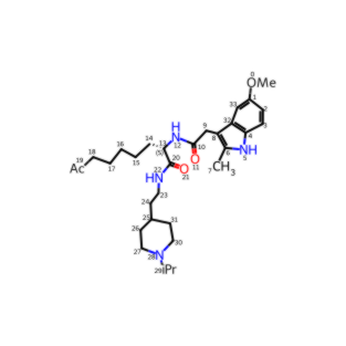 COc1ccc2[nH]c(C)c(CC(=O)N[C@@H](CCCCCC(C)=O)C(=O)NCCC3CCN(C(C)C)CC3)c2c1